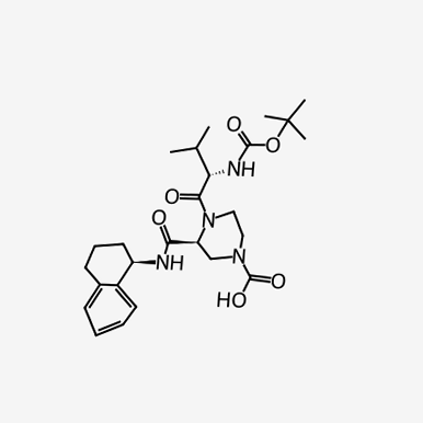 CC(C)[C@H](NC(=O)OC(C)(C)C)C(=O)N1CCN(C(=O)O)C[C@H]1C(=O)N[C@@H]1CCCc2ccccc21